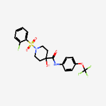 O=C(Nc1ccc(OC(F)(F)F)cc1)C1(O)CCN(S(=O)(=O)c2ccccc2F)CC1